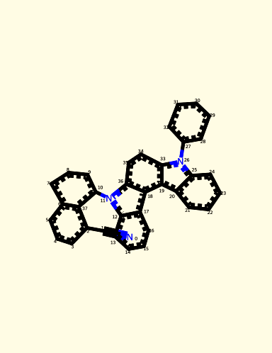 N#Cc1cccc2cccc(-n3c4ccccc4c4c5c6ccccc6n(-c6ccccc6)c5ccc43)c12